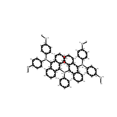 COc1ccc(N(c2ccc(OC)cc2)c2c3ccccc3c(N(c3ccccc3)c3c4ccccc4c(N(c4ccc(OC)cc4)c4ccc(OC)cc4)c4ccccc34)c3ccccc23)cc1